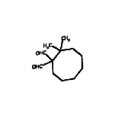 CC1(C)CCCCCCC1(C=O)C=O